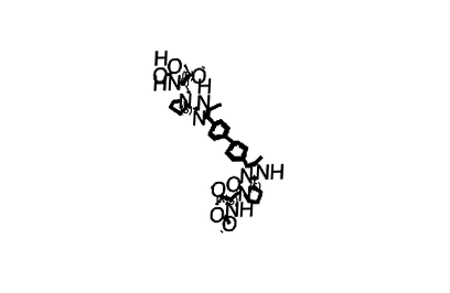 COC(=O)N[C@H](C(=O)N1CCC[C@H]1c1nc(-c2ccc(-c3ccc(-c4nc([C@@H]5CCCN5C[C@H](NC(=O)O)[C@@H](C)OC)[nH]c4C)cc3)cc2)c(C)[nH]1)[C@@H](C)OC